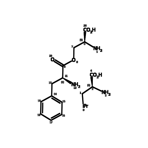 CC(C)C[C@H](N)C(=O)O.N[C@@H](COC(=O)[C@@H](N)Cc1ccccc1)C(=O)O